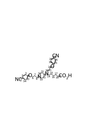 N#Cc1ccc(OCCCN2CCC(N(CCCCCC(=O)O)CCCOc3ccc(C#N)cc3)CC2)cc1